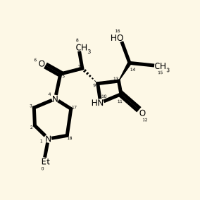 CCN1CCN(C(=O)C(C)[C@H]2NC(=O)[C@@H]2C(C)O)CC1